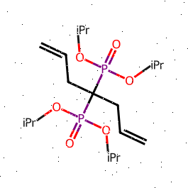 C=CCC(CC=C)(P(=O)(OC(C)C)OC(C)C)P(=O)(OC(C)C)OC(C)C